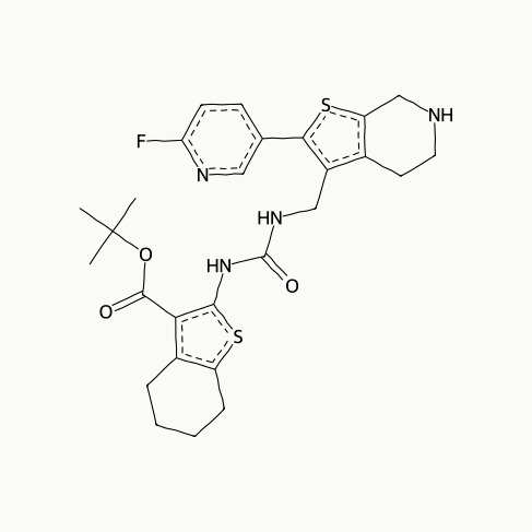 CC(C)(C)OC(=O)c1c(NC(=O)NCc2c(-c3ccc(F)nc3)sc3c2CCNC3)sc2c1CCCC2